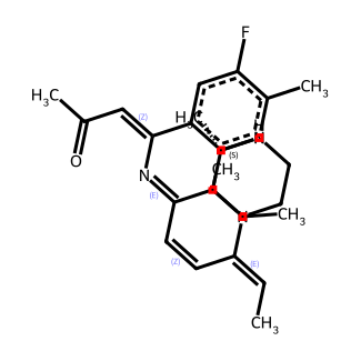 C\C=C(/C=C\C(=N\C(=C/C(C)=O)c1cnc(C)c(F)c1)C(C)CC)N1CCN[C@@H](C)C1